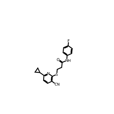 N#Cc1ccc(C2CC2)nc1SCCC(=O)Nc1ccc(F)cc1